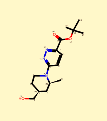 C[C@H]1C[C@@H](CO)CCN1c1ccc(C(=O)OC(C)(C)C)nn1